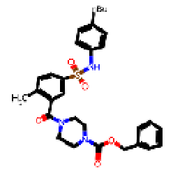 CCCCc1ccc(NS(=O)(=O)c2ccc(C)c(C(=O)N3CCN(C(=O)OCc4ccccc4)CC3)c2)cc1